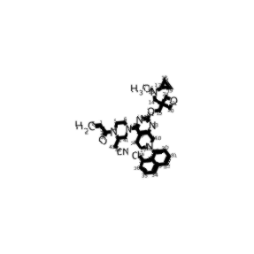 C=CC(=O)N1CCN(c2nc(OCC3(CN(C)C4CC4)COC3)nc3c2CCN(c2cccc4cccc(Cl)c24)C3)CC1CC#N